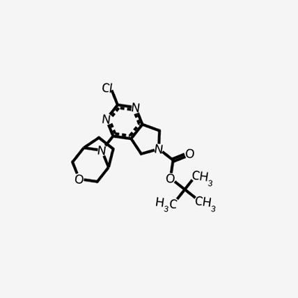 CC(C)(C)OC(=O)N1Cc2nc(Cl)nc(N3C4CCC3COC4)c2C1